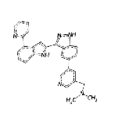 CN(C)Cc1cncc(-c2ccc3[nH]nc(-c4cc5c(-c6ccccn6)cccc5[nH]4)c3c2)c1